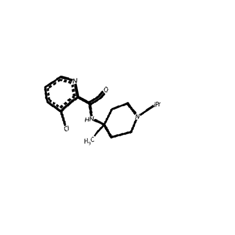 CC(C)N1CCC(C)(NC(=O)c2ncccc2Cl)CC1